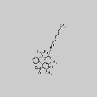 CCCCCCCOCCOC(=O)OC1=C(C)NC(C)=C([N+](=O)[O-])C1c1ccccc1OC(F)F